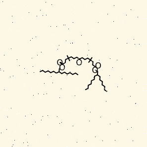 CCCCCCCC(CCCCCCC)COC(=O)CCC(C)(C)CCCC(=O)CCCC(C)(C)CCC(=O)OCC(CCCCCCC)CCCCCCC